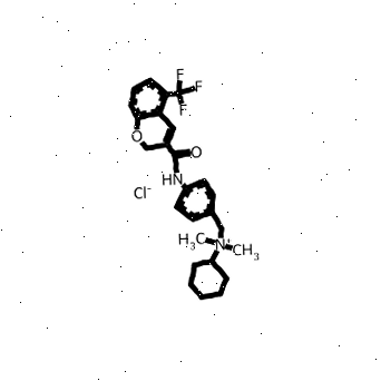 C[N+](C)(Cc1ccc(NC(=O)C2=Cc3c(cccc3C(F)(F)F)OC2)cc1)C1CCCCC1.[Cl-]